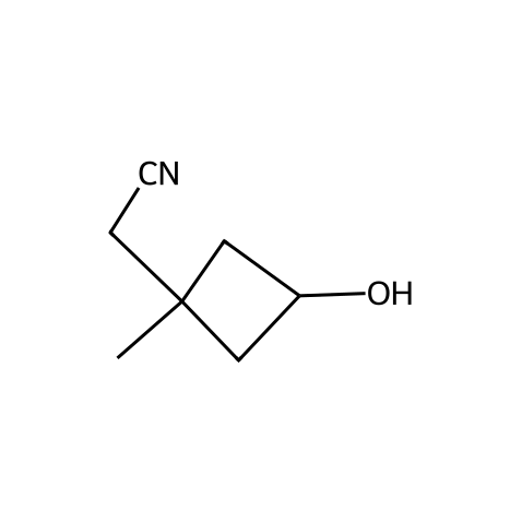 CC1(CC#N)CC(O)C1